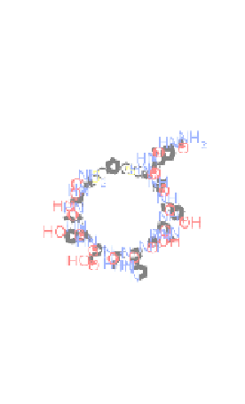 CCC[C@@H]1NC(=O)[C@H](Cc2c[nH]c3ncccc23)NC(=O)[C@H]([C@@H](C)O)NC(=O)[C@H](Cc2ncc[nH]2)NC(=O)[C@H](Cc2ccc(O)cc2)NC(=O)[C@H](C(C)(C)C)NC(=O)[C@@H](NC(=O)[C@H](Cc2ccc(NC(N)=O)cc2)NC(C)=O)CSCc2cccc(c2)CSC[C@@H](C(N)=O)NC(=O)[C@H]([C@@H](C)O)NC(=O)[C@H](CCC)NC(=O)[C@H](Cc2ccc(O)cc2)NC(=O)[C@H](CCC(=O)O)NC1=O